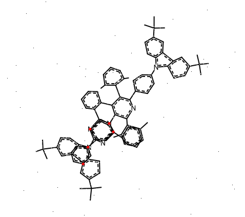 Cc1cccc(C)c1-c1nc(-c2ccc(-n3c4ccc(C(C)(C)C)cc4c4cc(C(C)(C)C)ccc43)cc2)c(-c2c(C)cccc2C)c(-c2ccccc2-c2nc(-c3ccccc3)nc(-c3ccccc3)n2)c1-c1ccc(-n2c3ccc(C(C)(C)C)cc3c3cc(C(C)(C)C)ccc32)cc1